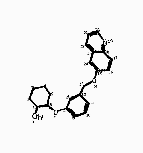 OC1CCCCC1Oc1cccc(COc2ccc3ncccc3c2)c1